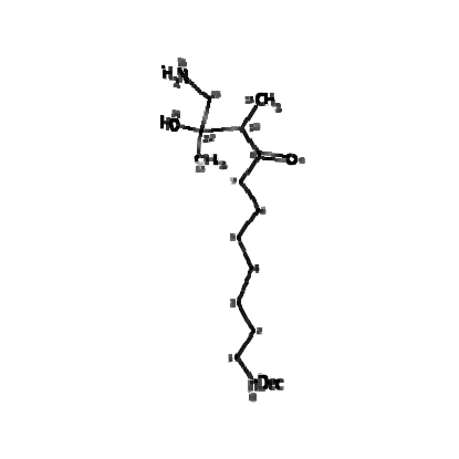 CCCCCCCCCCCCCCCCCC(=O)C(C)C(C)(O)CN